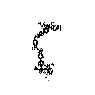 CC(C)n1nc(-c2noc(C3CC3)c2-c2ncc(C3CCN(C(=O)OCC(=O)N4CCC(CN5CC6(C5)CN(c5ccc7c(N8CCC(=O)NC8=O)nn(C)c7c5F)C6)CC4)CC3)cn2)c2c(N)ncnc21